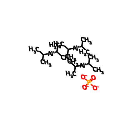 C[CH](C)[Al+][CH](C)C.C[CH](C)[Al+][CH](C)C.C[CH](C)[Al+][CH](C)C.O=P([O-])([O-])[O-]